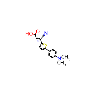 CN(C)c1ccc(-c2ccc(/C(C#N)=C/C(=O)O)s2)cc1